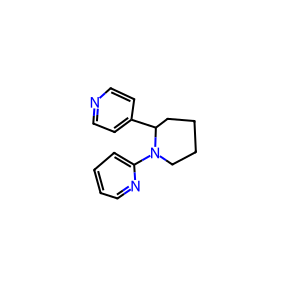 c1ccc(N2CCCCC2c2ccncc2)nc1